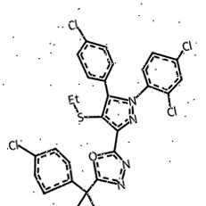 CCSc1c(-c2nnc(C3(c4ccc(Cl)cc4)CC3)o2)nn(-c2ccc(Cl)cc2Cl)c1-c1ccc(Cl)cc1